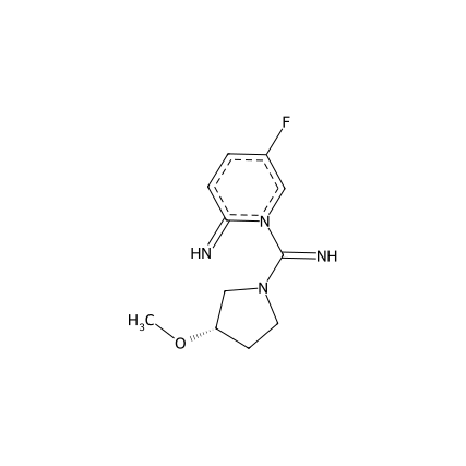 CO[C@H]1CCN(C(=N)n2cc(F)ccc2=N)C1